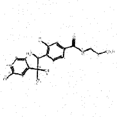 CC(c1ccc(C(=O)NCCC(=O)O)cc1Cl)C(O)(c1ccnc(Cl)c1)C(F)(F)F